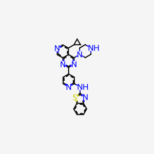 c1ccc2sc(Nc3cc(-c4nc(N5CCNCC5)c5c(C6CC6)cncc5n4)ccn3)nc2c1